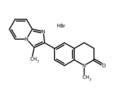 Br.Cc1c(-c2ccc3c(c2)CCC(=O)N3C)nc2ccccn12